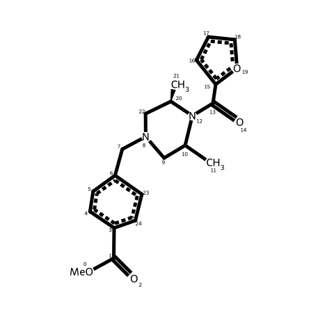 COC(=O)c1ccc(CN2CC(C)N(C(=O)c3ccco3)[C@H](C)C2)cc1